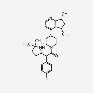 C[C@@H]1C[C@@H](O)c2ncnc(N3CCN(C(=O)C(c4ccc(F)cc4)C4CCC(C)(C)N4)CC3)c21